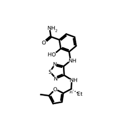 CC[C@@H](Nc1nsnc1Nc1cccc(C(N)=O)c1O)c1ccc(C)o1